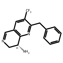 N[C@@H]1CN=Cc2cc(C(F)(F)F)c(Cc3ccccc3)nc21